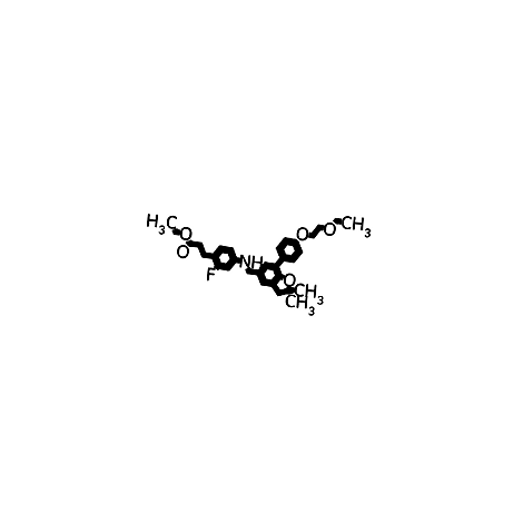 CCOCCOc1ccc(-c2cc(CNc3ccc(CCC(=O)OCC)c(F)c3)cc3c2OC(C)(C)C3)cc1